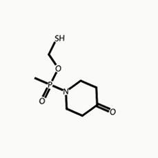 CP(=O)(OCS)N1CCC(=O)CC1